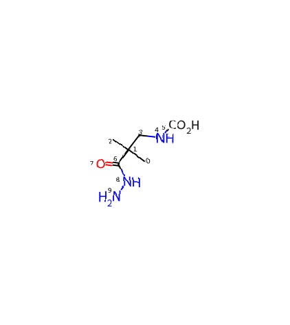 CC(C)(CNC(=O)O)C(=O)NN